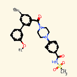 CCOc1cccc(-c2cc(C(=O)N3CCN(c4ccc(C(=O)NS(C)(=O)=O)cc4)CC3)cc(C(C)(C)C)c2)c1